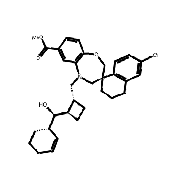 COC(=O)c1ccc2c(c1)N(C[C@@H]1CC[C@H]1[C@H](O)[C@@H]1C=CCCC1)C[C@@]1(CCCc3cc(Cl)ccc31)CO2